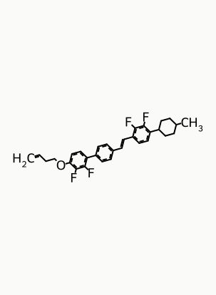 C=CCCOc1ccc(-c2ccc(/C=C/c3ccc(C4CCC(C)CC4)c(F)c3F)cc2)c(F)c1F